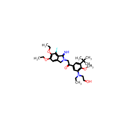 CCOc1cc2c(c(F)c1OCC)C(=N)N(CC(=O)c1cc(N(CC)CCO)c(OC)c(C(C)(C)C)c1)C2